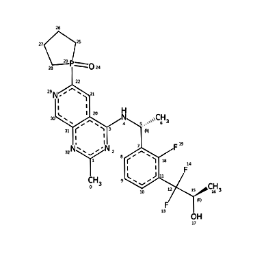 Cc1nc(N[C@H](C)c2cccc(C(F)(F)[C@@H](C)O)c2F)c2cc(P3(=O)CCCC3)ncc2n1